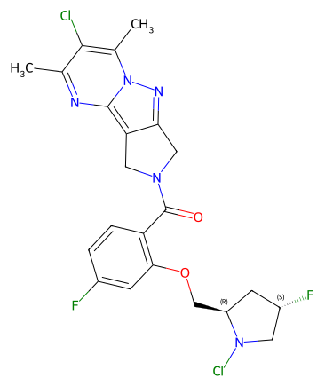 Cc1nc2c3c(nn2c(C)c1Cl)CN(C(=O)c1ccc(F)cc1OC[C@H]1C[C@H](F)CN1Cl)C3